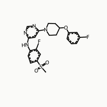 CS(=O)(=O)c1ccc(Nc2cc(N3CCC(Oc4cccc(F)c4)CC3)ncn2)c(F)c1